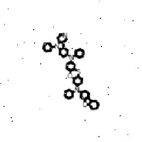 c1ccc(N(c2ccc3c(c2)Oc2ccc(N(c4ccccc4)c4ccc5c(c4)c4cnccc4n5-c4ccccc4)cc2S3)c2ccc3c(c2)oc2ccccc23)cc1